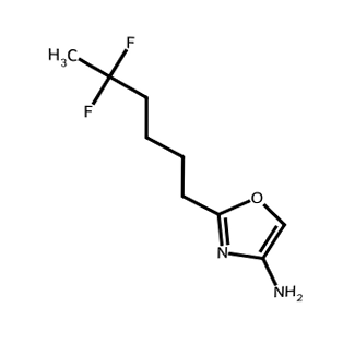 CC(F)(F)CCCCc1nc(N)co1